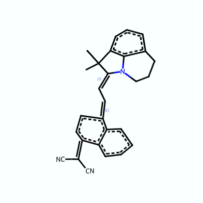 CC1(C)/C(=C/C=c2\ccc(=C(C#N)C#N)c3ccccc23)N2CCCc3cccc1c32